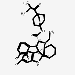 CCN1[C@@H](C(=O)NC23CCC(C(=O)C(C)C)(CC2)CC3)[C@H](c2cccc(Cl)c2F)[C@]2(C(=O)Nc3cc(Cl)ccc32)C12CCCCC2